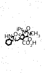 CC(C)n1c(=O)n(C)c(=O)c2c(C(=O)O)c(Cn3c(=O)[nH]c4ccccc43)sc21